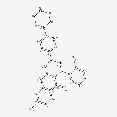 O=C(NC(c1ccccc1Cl)c1c[nH]c2cc(Cl)ccc2c1=O)c1ccc(N2CCOCC2)nc1